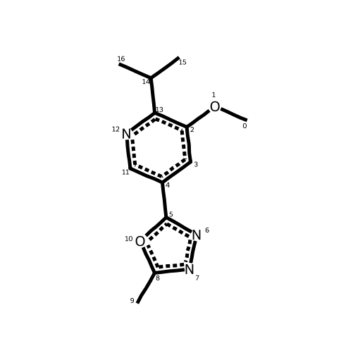 COc1cc(-c2nnc(C)o2)cnc1C(C)C